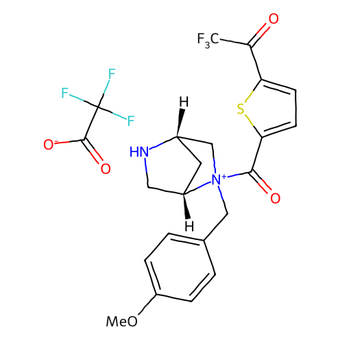 COc1ccc(C[N+]2(C(=O)c3ccc(C(=O)C(F)(F)F)s3)C[C@@H]3C[C@H]2CN3)cc1.O=C([O-])C(F)(F)F